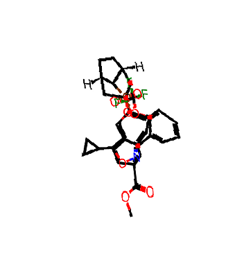 COC(=O)c1ccc2cc(S(=O)(=O)C3[C@@H]4CC[C@H]3CC(OCc3c(-c5ccccc5OC(F)(F)F)noc3C3CC3)C4)ccc2c1